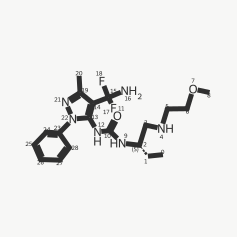 CC[C@@H](CNCCOC)NC(=O)Nc1c(C(N)(F)F)c(C)nn1-c1ccccc1